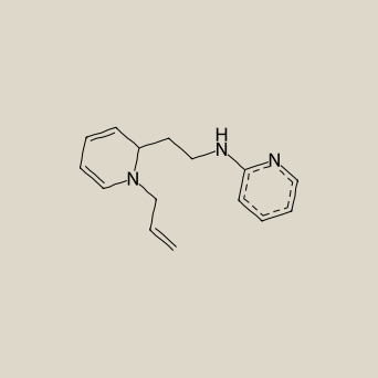 C=CCN1C=CC=CC1CCNc1ccccn1